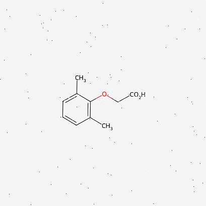 Cc1c[c]cc(C)c1OCC(=O)O